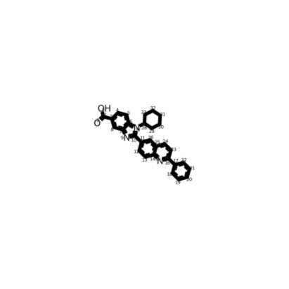 O=C(O)c1ccc2c(c1)nc(-c1ccc3nc(-c4ccccc4)ccc3c1)n2C1CCCCC1